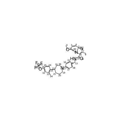 COc1ccc2nc(C)c(C(=O)NCc3ccc(N4CCCC(c5ccc(OC(F)(F)F)cc5C)CC4)cc3)n2c1